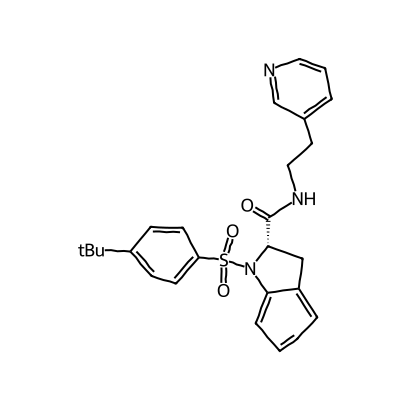 CC(C)(C)c1ccc(S(=O)(=O)N2c3ccccc3C[C@H]2C(=O)NCCc2cccnc2)cc1